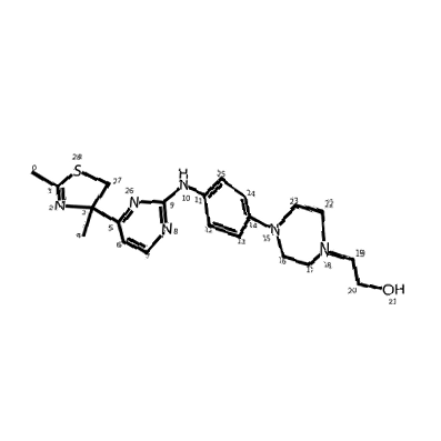 CC1=NC(C)(c2ccnc(Nc3ccc(N4CCN(CCO)CC4)cc3)n2)CS1